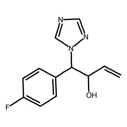 C=CC(O)C(c1ccc(F)cc1)n1cncn1